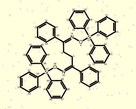 c1ccc(C(CCC(=NO[Si](c2ccccc2)(c2ccccc2)c2ccccc2)c2ccccc2)=NO[Si](c2ccccc2)(c2ccccc2)c2ccccc2)cc1